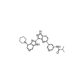 CC(C)C(=O)Nc1cncc(-c2ccc3[nH]nc(-c4nc5c(N6CCCCC6)cncc5[nH]4)c3n2)c1